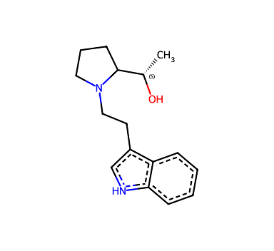 C[C@H](O)C1CCCN1CCc1c[nH]c2ccccc12